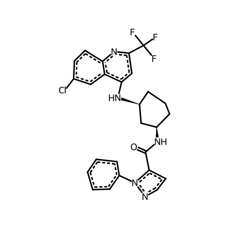 O=C(N[C@@H]1CCC[C@H](Nc2cc(C(F)(F)F)nc3ccc(Cl)cc23)C1)c1ccnn1-c1ccccc1